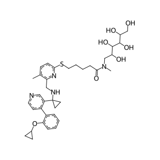 Cc1ccc(SCCCCC(=O)N(C)CC(O)C(O)C(O)C(O)CO)nc1CNC1(c2cnccc2-c2ccccc2OC2CC2)CC1